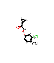 N#Cc1ccc(OCC(=O)C2CC2)cc1Cl